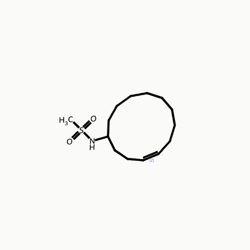 CS(=O)(=O)NC1CC/C=C\CCCCCCCC1